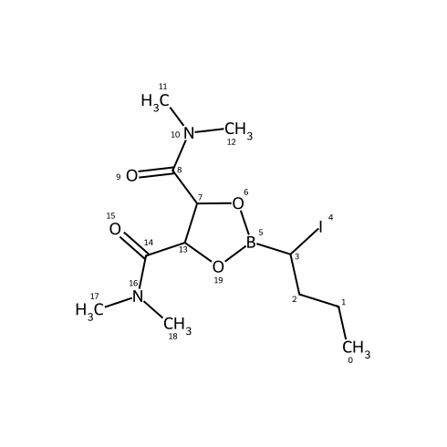 CCCC(I)B1OC(C(=O)N(C)C)C(C(=O)N(C)C)O1